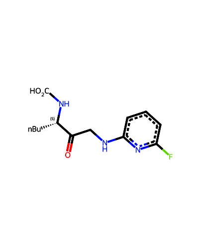 CCCC[C@H](NC(=O)O)C(=O)CNc1cccc(F)n1